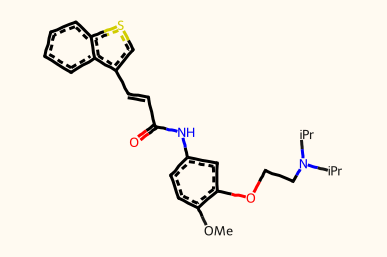 COc1ccc(NC(=O)/C=C/c2csc3ccccc23)cc1OCCN(C(C)C)C(C)C